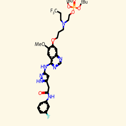 COc1cc2c(Nc3cc(CC(=O)Nc4cccc(F)c4)[nH]n3)ncnc2cc1OCCCN(CCOP(=O)(OC(C)(C)C)OC(C)(C)C)CCC(F)(F)F